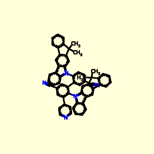 CC1(C)c2ccccc2-c2cc3c4ccccc4n(-c4ccc(C#N)cc4-c4cc(C#N)cc(-c5ccncc5)c4-n4c5ccccc5c5cc6c(cc54)C(C)(C)c4ccccc4-6)c3cc21